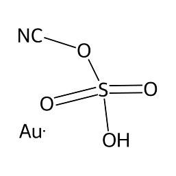 N#COS(=O)(=O)O.[Au]